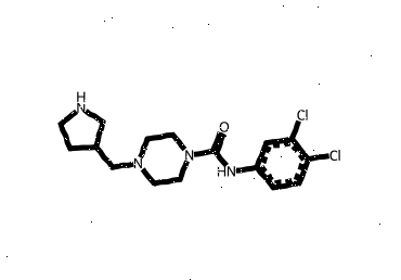 O=C(Nc1ccc(Cl)c(Cl)c1)N1CCN(CC2CCNC2)CC1